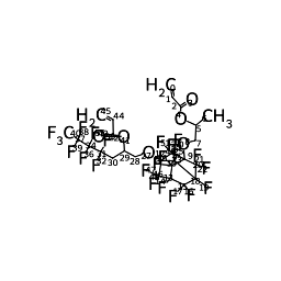 C=CC(=O)OC(C)COC12C(F)(F)C3(F)C(F)(F)C(F)(C1(F)F)C(F)(F)C(OCC(CC(F)(F)C(F)(F)C(F)(F)C(F)(F)F)OC(=O)C=C)(C3(F)F)C2(F)F